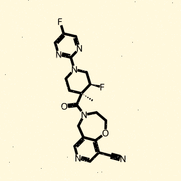 C[C@]1(C(=O)N2CCOc3c(C#N)cncc3C2)CCN(c2ncc(F)cn2)C[C@H]1F